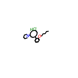 CCCCCOc1ccccc1C1CCCCCCC(N2CCCCC2)CC1.Cl